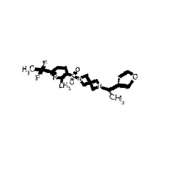 Cc1nc(C(C)(F)F)ccc1S(=O)(=O)N1CC2(CN([C@@H](C)[C@@H]3CCOC3)C2)C1